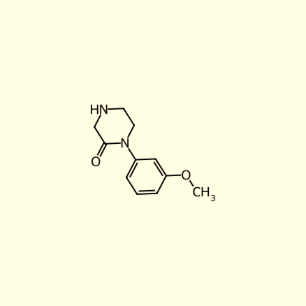 COc1cccc(N2CCNCC2=O)c1